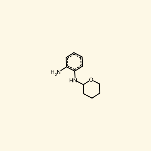 Nc1ccccc1NC1CCCCO1